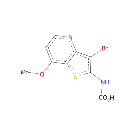 CC(C)Oc1ccnc2c(Br)c(NC(=O)O)sc12